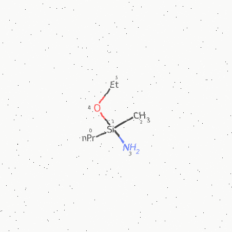 CCC[Si](C)(N)OCC